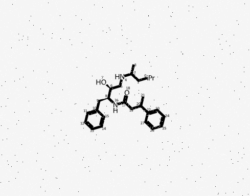 CC(C)CC(C)NC[C@H](O)[C@H](Cc1ccccc1)NC(=O)CC(C)c1ccccc1